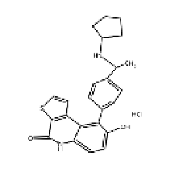 CC(NC1CCCC1)c1ccc(-c2c(O)ccc3[nH]c(=O)c4sccc4c23)cc1.Cl